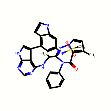 Cc1ccn2nc([C@H](C)Nc3ncnc4[nH]cc(-c5cc(NS(C)(=O)=O)cc6[nH]ccc56)c34)n(-c3ccccc3)c(=O)c12